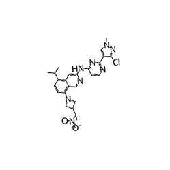 CC(C)c1ccc(N2CC(C[N+](=O)[O-])C2)c2cnc(Nc3ccnc(-c4cn(C)nc4Cl)n3)cc12